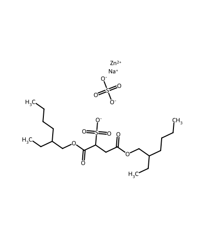 CCCCC(CC)COC(=O)CC(C(=O)OCC(CC)CCCC)S(=O)(=O)[O-].O=S(=O)([O-])[O-].[Na+].[Zn+2]